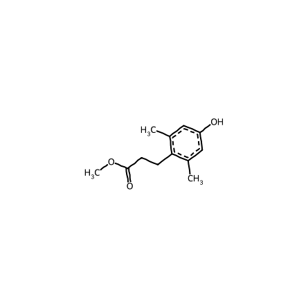 COC(=O)CCc1c(C)cc(O)cc1C